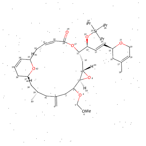 C=C1CC(OCOC)[C@@H]2O[C@H]2C[C@@H]([C@H](/C=C/[C@@H]2CC(C)=CCO2)O[Si](C(C)C)(C(C)C)C(C)C)OC(=O)/C=C\C[C@@H]2C=CC[C@@H](C[C@@H](C)C1)O2